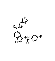 O=C(NCc1cncs1)c1ccc2[nH]nc(NC(=O)c3ccc(F)cc3)c2c1